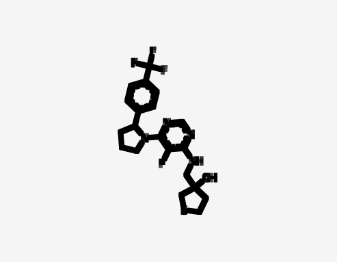 OC1(CNc2ncnc(N3CCCC3c3ccc(C(F)(F)F)cc3)c2F)CCSC1